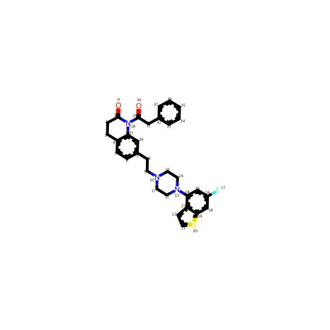 O=C1CCc2ccc(CCN3CCN(c4cc(F)cc5sccc45)CC3)cc2N1C(=O)Cc1ccccc1